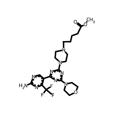 COC(=O)CCCCN1CCN(c2nc(-c3cnc(N)nc3C(F)(F)F)nc(N3CCOCC3)n2)CC1